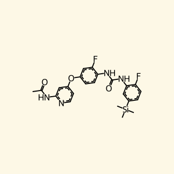 CC(=O)Nc1cc(Oc2ccc(NC(=O)Nc3cc([Si](C)(C)C)ccc3F)c(F)c2)ccn1